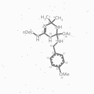 CCCCCCCCCCNC1=NC(C)(C)NC(NCc2ccc(OC)cc2)(OC(C)=O)N1